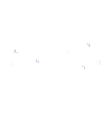 CN(C)C(=O)[C@H]1CCN(c2ccc(Oc3ccnc4c(Cl)cncc34)cc2)C1